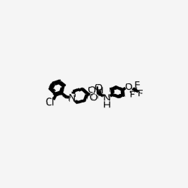 O=C(Nc1ccc(OC(F)(F)F)cc1)OC1(O)CCN(Cc2ccccc2Cl)CC1